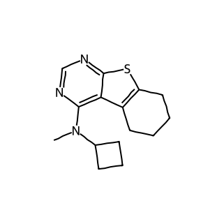 CN(c1ncnc2sc3c(c12)CCCC3)C1CCC1